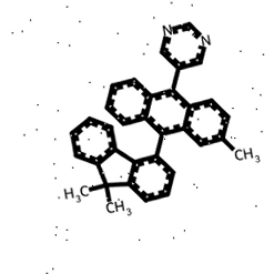 Cc1ccc2c(-c3cncnc3)c3ccccc3c(-c3cccc4c3-c3ccccc3C4(C)C)c2c1